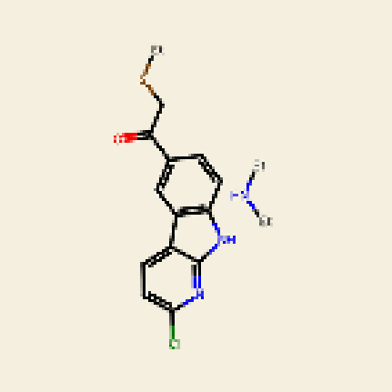 CCNCC.CCSCC(=O)c1ccc2[nH]c3nc(Cl)ccc3c2c1